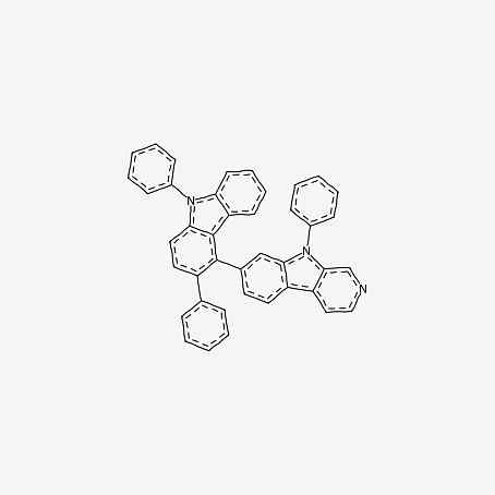 c1ccc(-c2ccc3c(c2-c2ccc4c5ccncc5n(-c5ccccc5)c4c2)c2ccccc2n3-c2ccccc2)cc1